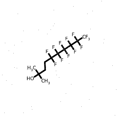 CC(C)(O)CCC(F)(F)C(F)(F)C(F)(F)C(F)(F)C(F)(F)C(F)(F)F